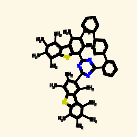 Bc1c(B)c(B)c2c(sc3c(B)c(B)c(-c4nc(-c5ccccc5-c5ccc(-c6ccccc6)cc5)nc(-c5c(B)c(B)c(B)c6c5sc5c(B)c(B)c(B)c(B)c56)n4)c(B)c32)c1B